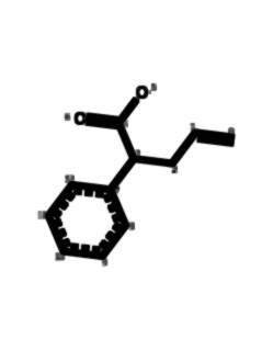 C=CCC(C([O])=O)c1ccccc1